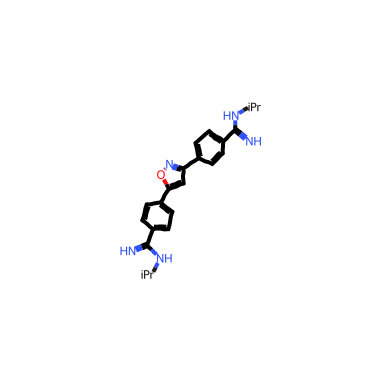 CC(C)NC(=N)c1ccc(-c2cc(-c3ccc(C(=N)NC(C)C)cc3)on2)cc1